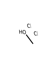 CO.[C].[C]